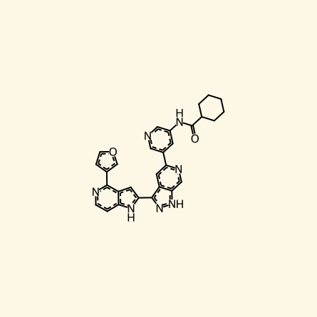 O=C(Nc1cncc(-c2cc3c(-c4cc5c(-c6ccoc6)nccc5[nH]4)n[nH]c3cn2)c1)C1CCCCC1